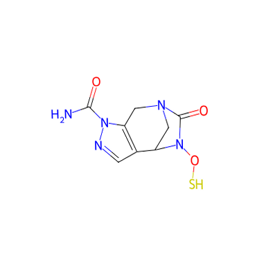 NC(=O)n1ncc2c1CN1CC2N(OS)C1=O